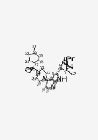 Cc1nn(C(C)C)cc1-c1cc2c(N3CCN(C(=O)[C@H]4CC[C@H](C)CC4)CC3)ccnc2[nH]1